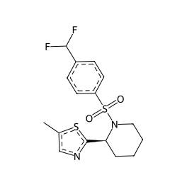 Cc1cnc([C@@H]2CCCCN2S(=O)(=O)c2ccc(C(F)F)cc2)s1